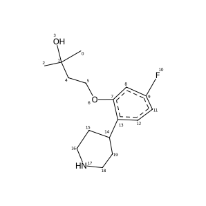 CC(C)(O)CCOc1cc(F)ccc1C1CCNCC1